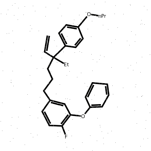 C=CC(CC)(CCCc1ccc(F)c(Oc2ccccc2)c1)c1ccc(OCCC)cc1